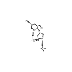 C[C@H](C#N)Nc1cc(-n2ncc3cc(C#N)cnc32)ncc1C#C[Si](C)(C)C